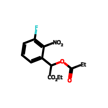 CCOC(=O)C(OC(=O)CC)c1cccc(F)c1[N+](=O)[O-]